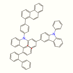 c1ccc(-c2ccccc2-c2ccccc2-c2ccccc2N(c2ccc(-c3cccc4c3ccc3ccccc34)cc2)c2cccc(-c3ccc4c(c3)c3ccccc3n4-c3ccccc3)c2)cc1